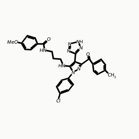 COc1ccc(C(=O)NCCCNc2c(-c3nn[nH]n3)c(C(=O)c3ccc(C)cc3)nn2-c2ccc(Cl)cc2)cc1